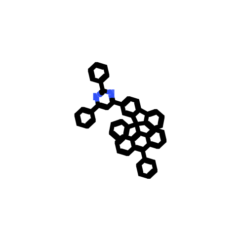 c1ccc(-c2cc(-c3ccc4c(c3)C(c3ccccc3)(c3c5ccccc5c(-c5ccccc5)c5ccccc35)c3ccccc3-4)nc(-c3ccccc3)n2)cc1